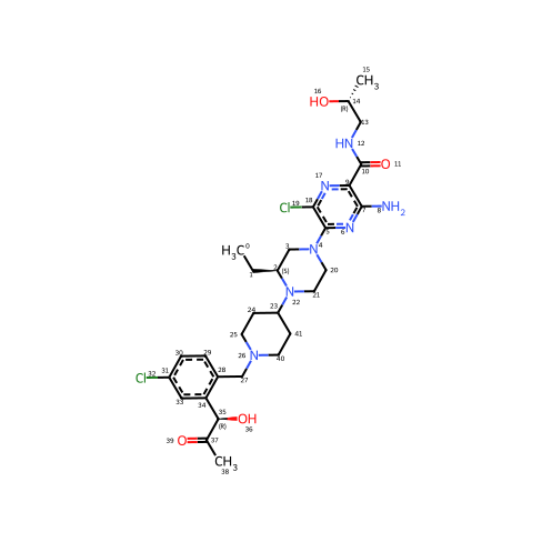 CC[C@H]1CN(c2nc(N)c(C(=O)NC[C@@H](C)O)nc2Cl)CCN1C1CCN(Cc2ccc(Cl)cc2[C@@H](O)C(C)=O)CC1